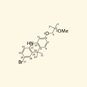 COC(C)(C)COc1ccc2c(c1)Nc1ccc(Br)cc1C2(C)C